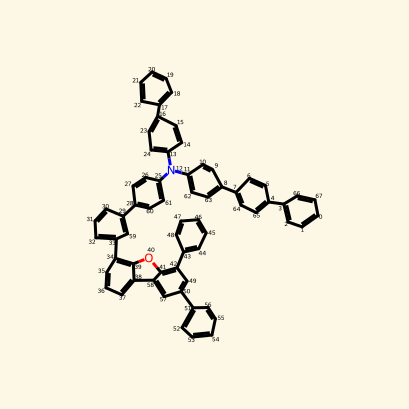 c1ccc(-c2ccc(-c3ccc(N(c4ccc(-c5ccccc5)cc4)c4ccc(-c5cccc(-c6cccc7c6oc6c(-c8ccccc8)cc(-c8ccccc8)cc67)c5)cc4)cc3)cc2)cc1